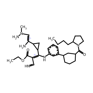 CCCCC1CCCN1C(=O)C1CCCC(c2cccc(N/C(=C(\C=N)C(=O)OCC)C3CC3/C(N)=C/N(C)N)c2)C1